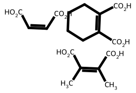 C/C(C(=O)O)=C(\C)C(=O)O.O=C(O)/C=C\C(=O)O.O=C(O)C1=C(C(=O)O)CCCC1